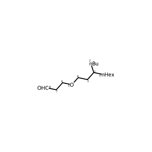 CCCCCCC(CCCC)CCOCCC=O